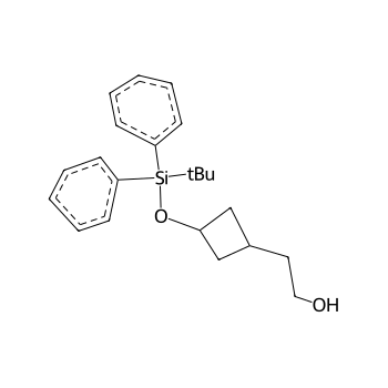 CC(C)(C)[Si](OC1CC(CCO)C1)(c1ccccc1)c1ccccc1